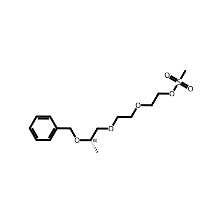 C[C@@H](COCCOCCOS(C)(=O)=O)OCc1ccccc1